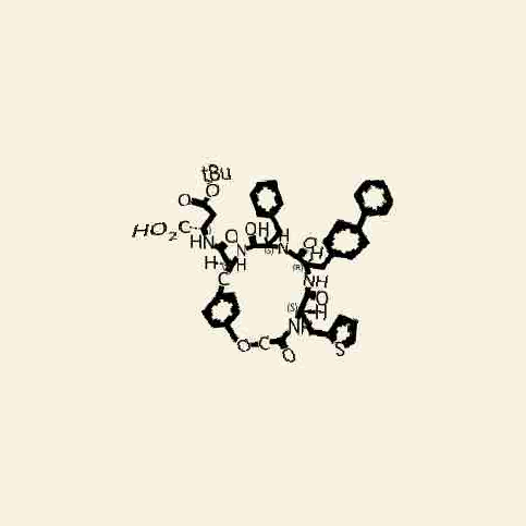 CC(C)(C)OC(=O)C[C@H](NC(=O)[C@@H]1Cc2ccc(cc2)OCC(=O)N[C@@H](Cc2cccs2)C(=O)N[C@H](Cc2ccc(-c3ccccc3)cc2)C(=O)N[C@@H](Cc2ccccc2)C(=O)N1)C(=O)O